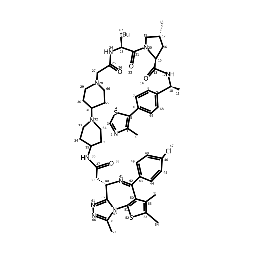 Cc1ncsc1-c1ccc([C@H](C)NC(=O)[C@@H]2C[C@@H](C)CN2C(=O)[C@@H](NC(=O)CN2CCC(N3CCC(NC(=O)C[C@@H]4N=C(c5ccc(Cl)cc5)c5c(sc(C)c5C)-n5c(C)nnc54)CC3)CC2)C(C)(C)C)cc1